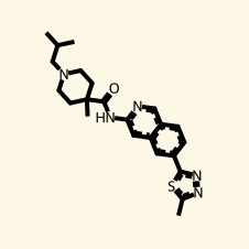 Cc1nnc(-c2ccc3cnc(NC(=O)C4(C)CCN(CC(C)C)CC4)cc3c2)s1